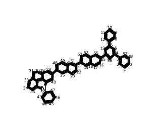 c1ccc(-c2cc(-c3ccccc3)cc(-c3ccc4cc(-c5ccc6cc(-c7cc8ccc9cccc%10c9c8c(c7)n%10-c7ccccc7)ccc6c5)ccc4c3)c2)cc1